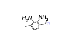 C/C=C\c1ccc(C)c(N)c1N